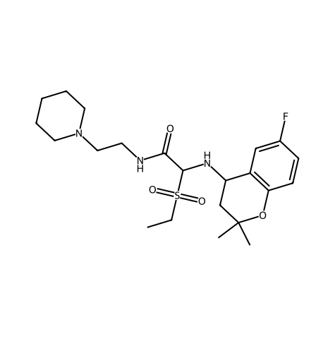 CCS(=O)(=O)C(NC1CC(C)(C)Oc2ccc(F)cc21)C(=O)NCCN1CCCCC1